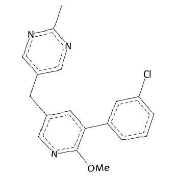 COc1ncc(Cc2cnc(C)nc2)cc1-c1cccc(Cl)c1